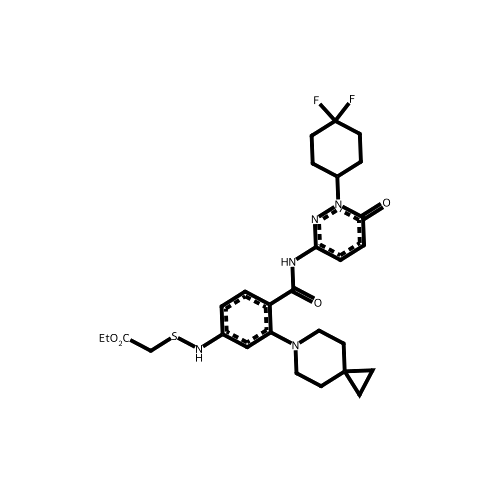 CCOC(=O)CSNc1ccc(C(=O)Nc2ccc(=O)n(C3CCC(F)(F)CC3)n2)c(N2CCC3(CC2)CC3)c1